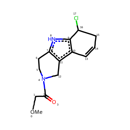 COCC(=O)N1CCc2[nH]c3c(c2C1)C=CCC3Cl